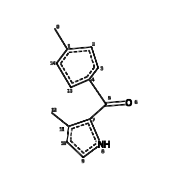 Cc1ccc(C(=O)c2[nH]ccc2C)cc1